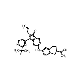 C=CCn1c(=O)c2cnc(Nc3ccc4c(c3)CCC(N(C)C)C4)cc2n1-c1ccnc(C(C)(C)F)n1